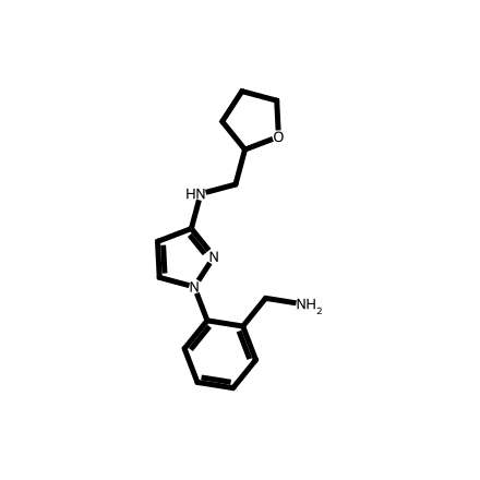 NCc1ccccc1-n1ccc(NCC2CCCO2)n1